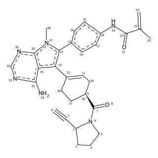 C#CC1CCCN1C(=O)[C@@H]1CC=C(c2c(-c3ccc(NC(=O)C(=C)C)cc3)n(C)c3ncnc(N)c23)CC1